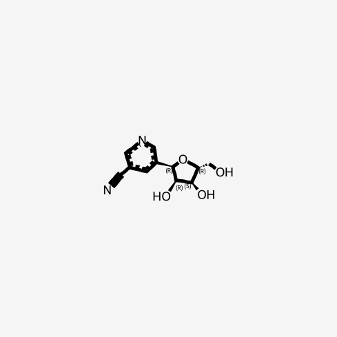 N#Cc1cncc([C@H]2O[C@H](CO)[C@@H](O)[C@H]2O)c1